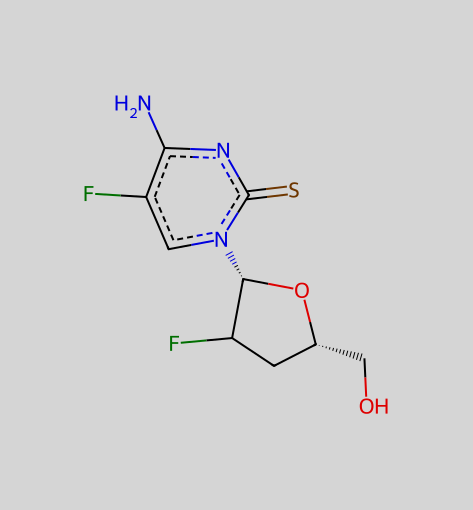 Nc1nc(=S)n([C@@H]2O[C@H](CO)CC2F)cc1F